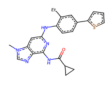 CCc1cc(-c2cccs2)ccc1Nc1cc2c(ncn2C)c(NC(=O)C2CC2)n1